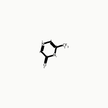 O=C1C=N[C]=C(C(F)(F)F)[N]1